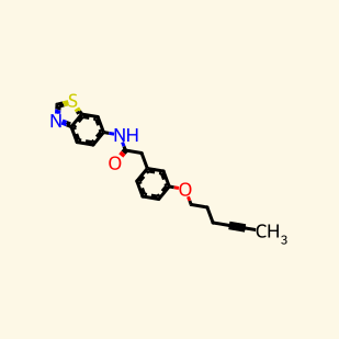 CC#CCCCOc1cccc(CC(=O)Nc2ccc3ncsc3c2)c1